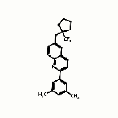 Cc1cc(C)cc(-c2ccc3cc(CC4(C(F)(F)F)CCCC4)ccc3n2)c1